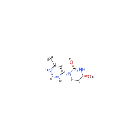 CC(C)c1cc(N2CCC(=O)NC2=O)ncn1